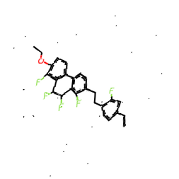 C=Cc1ccc(CCc2ccc3c(c2F)C(F)C(F)c2c-3ccc(OCC)c2F)c(F)c1